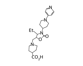 CCC1C(CN2CCC(C(=O)O)CC2)OC(=O)N1C1CCN(c2ccncc2)CC1